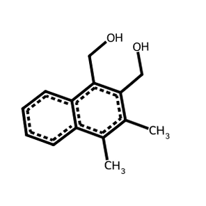 Cc1c(CO)c(CO)c2ccccc2c1C